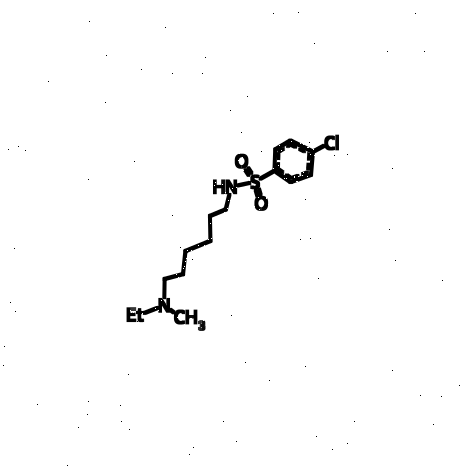 CCN(C)CCCCCCNS(=O)(=O)c1ccc(Cl)cc1